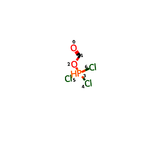 O=CO[PH](Cl)(Cl)Cl